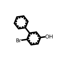 Oc1ccc(Br)c(-c2ccccc2)c1